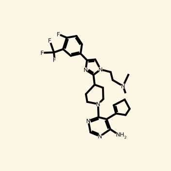 CN(C)CCn1cc(-c2ccc(F)c(C(F)(F)F)c2)nc1C1CCN(c2ncnc(N)c2C2=CCCC2)CC1